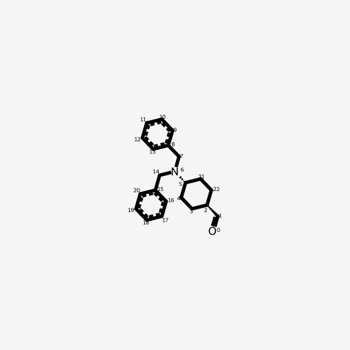 O=C[C@H]1CC[C@H](N(Cc2ccccc2)Cc2ccccc2)CC1